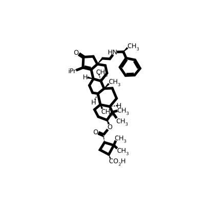 CC(C)C1=C2[C@H]3CC[C@@H]4[C@@]5(C)CC[C@H](OC(=O)[C@H]6C[C@@H](C(=O)O)C6(C)C)C(C)(C)[C@@H]5CC[C@@]4(C)[C@]3(C)CC[C@@]2(CCN[C@@H](C)c2ccccc2)CC1=O